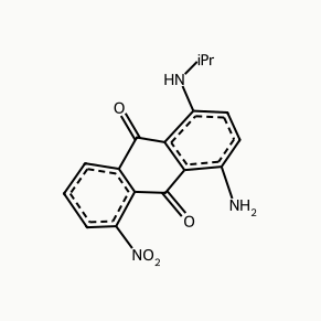 CC(C)Nc1ccc(N)c2c1C(=O)c1cccc([N+](=O)[O-])c1C2=O